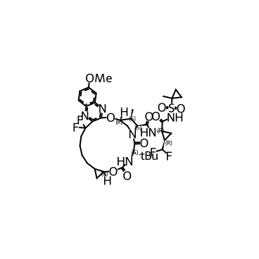 COc1ccc2nc3c(nc2c1)O[C@H]1CN(C(=O)[C@H](C(C)(C)C)NC(=O)O[C@@H]2CC2CCCCC3(F)F)[C@H](C(=O)N[C@]2(C(=O)NS(=O)(=O)C3(C)CC3)C[C@H]2C(F)F)[C@@H]1C